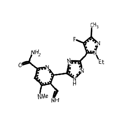 CCn1nc(C)c(F)c1-c1n[nH]c(-c2nc(C(N)=O)cc(NC)c2C=N)n1